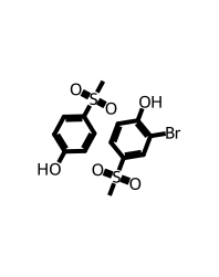 CS(=O)(=O)c1ccc(O)c(Br)c1.CS(=O)(=O)c1ccc(O)cc1